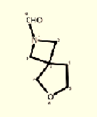 O=CN1CC2(CCOC2)C1